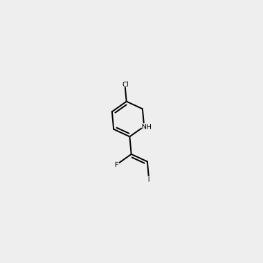 F/C(=C\I)C1=CC=C(Cl)CN1